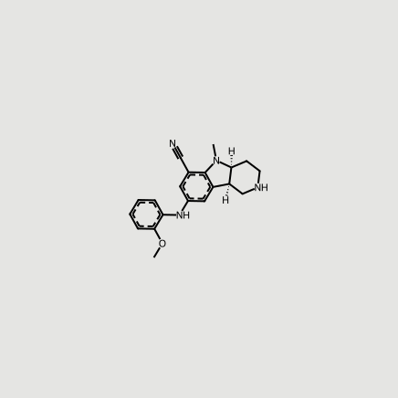 COc1ccccc1Nc1cc(C#N)c2c(c1)[C@@H]1CNCC[C@@H]1N2C